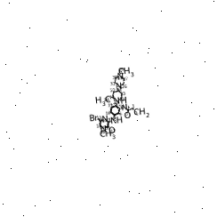 C=CC(=O)Nc1cc(Nc2nc(Br)cn(C)c2=O)ccc1N1CCC(N2CCN(C)CC2)C[C@@H]1C